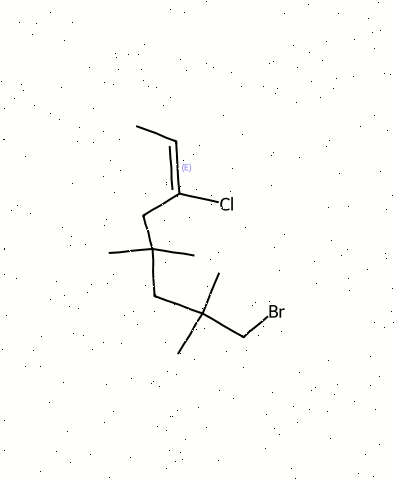 C/C=C(/Cl)CC(C)(C)CC(C)(C)CBr